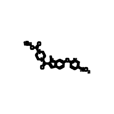 Cn1c(C(=O)N2CCN(C(=O)OC(C)(C)C)CC2)cc2ccc(Oc3ccc([N+](=O)[O-])cn3)cc21